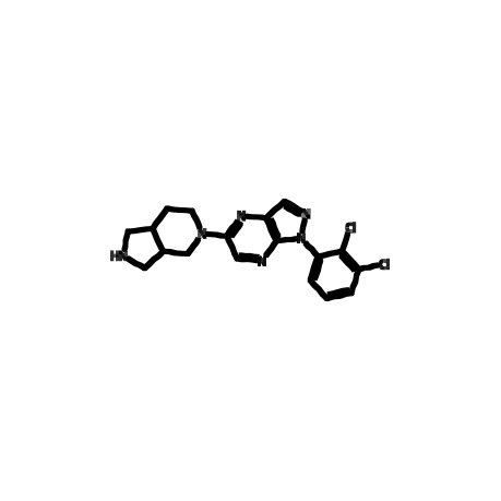 Clc1cccc(-n2ncc3nc(N4CCC5CNCC5C4)cnc32)c1Cl